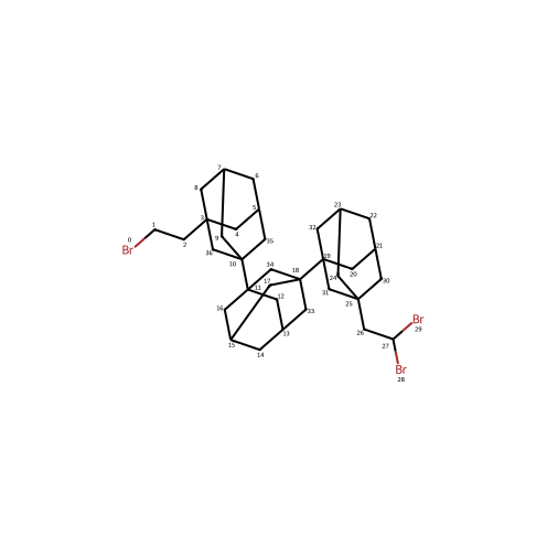 BrCCC12CC3CC(C1)CC(C14CC5CC(C1)CC(C16CC7CC(CC(CC(Br)Br)(C7)C1)C6)(C5)C4)(C3)C2